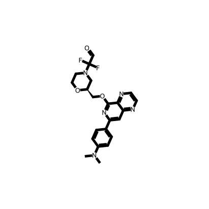 CN(C)c1ccc(-c2cc3nccnc3c(OC[C@@H]3CN(C(F)(F)C=O)CCO3)n2)cc1